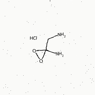 Cl.NCC1(N)OO1